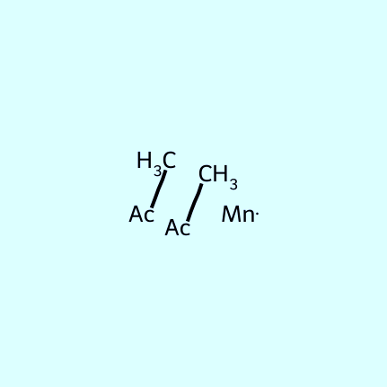 CC(C)=O.CC(C)=O.[Mn]